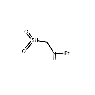 [CH2]C(C)NC[SH](=O)=O